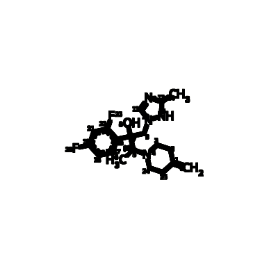 C=C1CCN([C@@H](C)C(O)(CN2C=NC(C)N2)c2ccc(F)cc2F)CC1